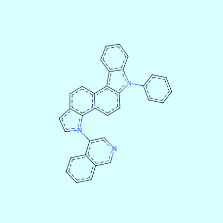 c1ccc(-n2c3ccccc3c3c4ccc5ccn(-c6cncc7ccccc67)c5c4ccc32)cc1